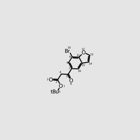 CC(C)(C)OC(=O)CC(=O)c1cc(Br)c2occc2c1